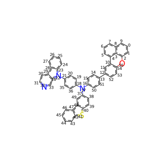 c1cc2c3c(cccc3c1)-c1cc(-c3ccc(N(c4ccc(-n5c6ccccc6c6ccncc65)cc4)c4ccc5sc6ccccc6c5c4)cc3)ccc1O2